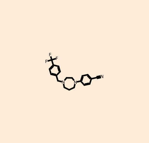 N#Cc1ccc(N2CCCN(Cc3ccc(C(F)(F)F)cc3)CC2)cc1